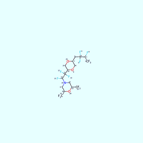 FC(C(F)(F)F)C(F)(F)CC1COC(C(F)(F)C(F)N2CC(C(F)(F)F)OC(C(F)(F)F)C2)CO1